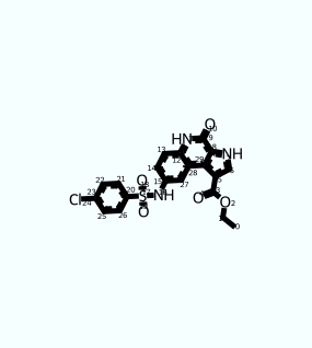 CCOC(=O)c1c[nH]c2c(=O)[nH]c3ccc(NS(=O)(=O)c4ccc(Cl)cc4)cc3c12